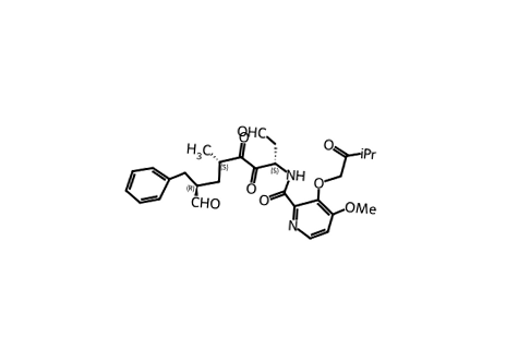 COc1ccnc(C(=O)N[C@@H](CC=O)C(=O)C(=O)[C@@H](C)C[C@@H](C=O)Cc2ccccc2)c1OCC(=O)C(C)C